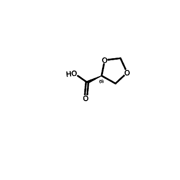 O=C(O)[C@@H]1COCO1